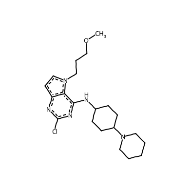 COCCCn1ccc2nc(Cl)nc(NC3CCC(N4CCCCC4)CC3)c21